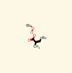 CCCCC=C(C)C(=O)OOOC(C)(C)C